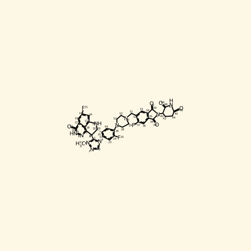 Cn1ncnc1[C@H]1c2n[nH]c(=O)c3cc(F)cc(c23)N[C@@H]1c1ccc(F)c(N2CCN(Cc3cc4c(cc3F)C(=O)N(C3CCC(=O)NC3=O)C4=O)CC2)c1